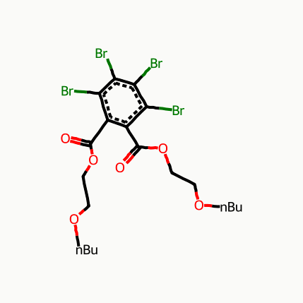 CCCCOCCOC(=O)c1c(Br)c(Br)c(Br)c(Br)c1C(=O)OCCOCCCC